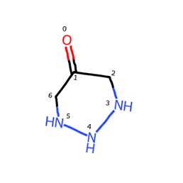 O=C1CNNNC1